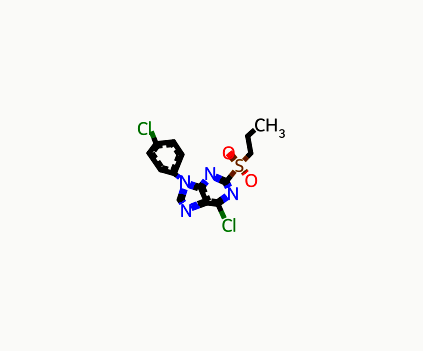 CCCS(=O)(=O)c1nc(Cl)c2ncn(-c3ccc(Cl)cc3)c2n1